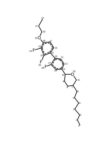 CCCCCCCC1CCC(c2ccc(-c3ccc(OCCC)c(F)c3F)c(F)c2)OC1